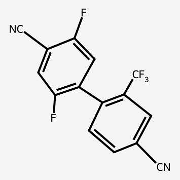 N#Cc1ccc(-c2cc(F)c(C#N)cc2F)c(C(F)(F)F)c1